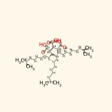 CC(C)CCCCCCc1c(CCCCCCC(C)C)c(C(=O)O)c(C(=O)O)c(C(=O)O)c1CCCCCCC(C)C